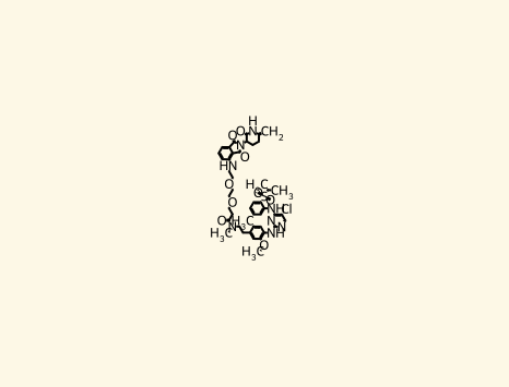 C=C1CCC(N2C(=O)c3cccc(NCCOCCOCCC(=O)N(C)CCc4cc(OC)c(Nc5ncc(Cl)c(Nc6ccccc6S(=O)(=O)C(C)C)n5)cc4C)c3C2=O)C(=O)N1